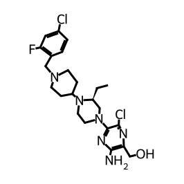 CC[C@H]1CN(c2nc(N)c(CO)nc2Cl)CCN1C1CCN(Cc2ccc(Cl)cc2F)CC1